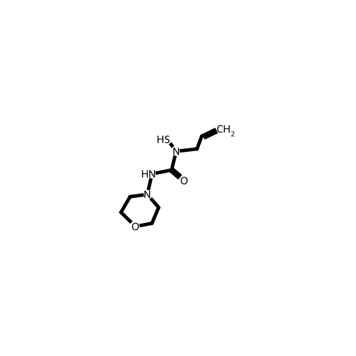 C=CCN(S)C(=O)NN1CCOCC1